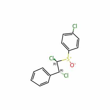 [O-][S+](c1ccc(Cl)cc1)[C@H](Cl)[C@H](Cl)c1ccccc1